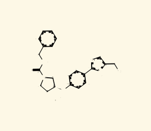 Cl.NCc1cnc(-c2ccc(O[C@H]3CCN(C(=O)OCc4ccccc4)C3)cc2)s1